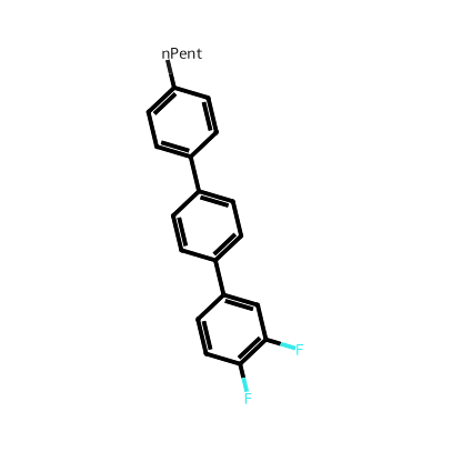 CCCCCc1ccc(-c2ccc(-c3ccc(F)c(F)c3)cc2)cc1